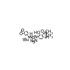 CC(C)c1ccc(Nc2nsnc2N[C@@H](c2ccc3c(c2)OCO3)C(C)(C)C)c(O)c1C(=O)N(C)C